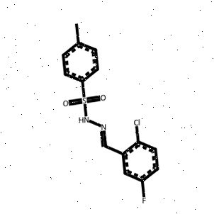 Cc1ccc(S(=O)(=O)NN=Cc2cc(F)ccc2Cl)cc1